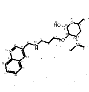 CC1C[C@H](N(C)C)[C@@H](OCCCNCc2cnc3ccccc3c2)[C@H](O)O1